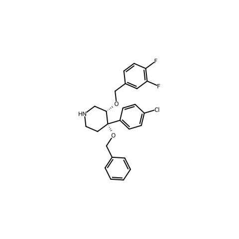 Fc1ccc(CO[C@H]2CNCC[C@]2(OCc2ccccc2)c2ccc(Cl)cc2)cc1F